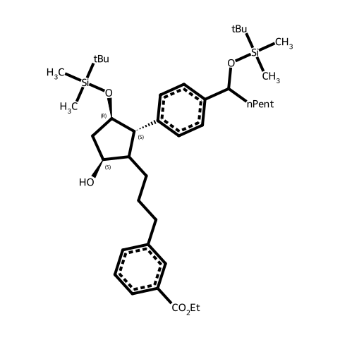 CCCCCC(O[Si](C)(C)C(C)(C)C)c1ccc([C@@H]2C(CCCc3cccc(C(=O)OCC)c3)[C@@H](O)C[C@H]2O[Si](C)(C)C(C)(C)C)cc1